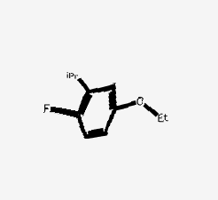 CCOc1ccc(F)c(C(C)C)c1